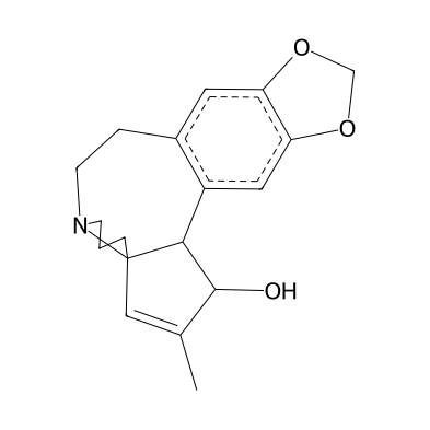 CC1=CC23CCCN2CCc2cc4c(cc2C3C1O)OCO4